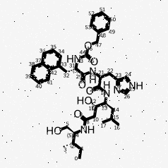 CC[C@H](C)[C@@H](CO)NC(=O)C[C@H](O)[C@H](CC(C)C)NC(=O)C(Cc1c[nH]cn1)NC(=O)[C@H](Cc1cccc2ccccc12)NC(=O)OCc1ccccc1